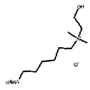 CCCCCCCCCCCCC[N+](C)(C)CCO.[Cl-]